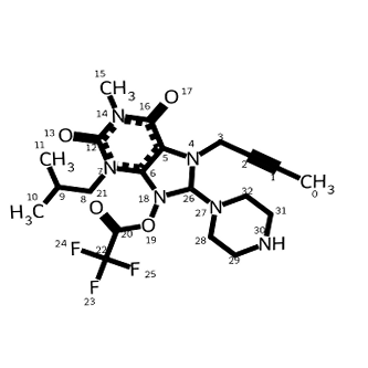 CC#CCN1c2c(n(CC(C)C)c(=O)n(C)c2=O)N(OC(=O)C(F)(F)F)C1N1CCNCC1